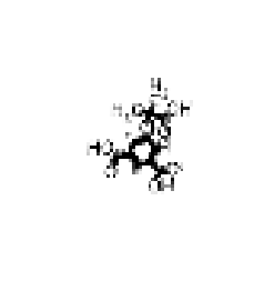 CC(C)(C)C(O)O.O=C(O)c1cccc(C(=O)O)c1